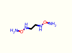 NONCCNON